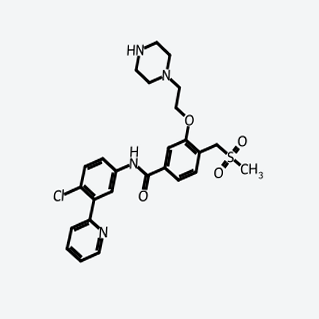 CS(=O)(=O)Cc1ccc(C(=O)Nc2ccc(Cl)c(-c3ccccn3)c2)cc1OCCN1CCNCC1